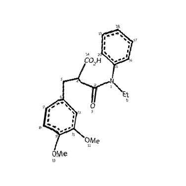 CCN(C(=O)C(Cc1ccc(OC)c(OC)c1)C(=O)O)c1ccccc1